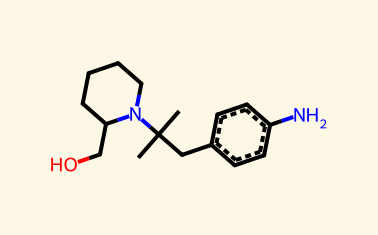 CC(C)(Cc1ccc(N)cc1)N1CCCCC1CO